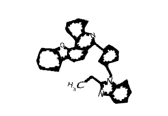 CCc1nc2ccccc2n1-c1cccc(-c2nc3ccccc3c3c2ccc2c4ccccc4oc23)c1